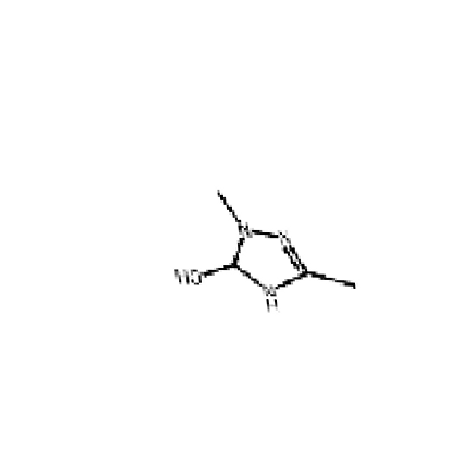 CC1=NN(C)C(O)N1